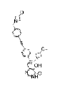 COC1CN(Cc2ccc(C#Cc3ccc([C@H](Cc4nc[nH]c(=O)c4O)CN4CC(OC)C4)cc3)cc2)C1